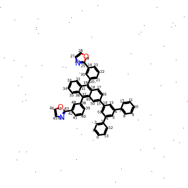 c1ccc(-c2cc(-c3ccccc3)cc(-c3ccc4c(-c5cccc(-c6ncco6)c5)c5ccccc5c(-c5cccc(-c6ncco6)c5)c4c3)c2)cc1